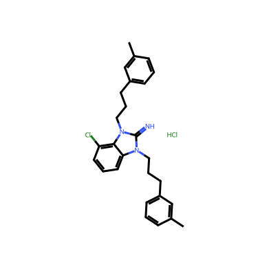 Cc1cccc(CCCn2c(=N)n(CCCc3cccc(C)c3)c3c(Cl)cccc32)c1.Cl